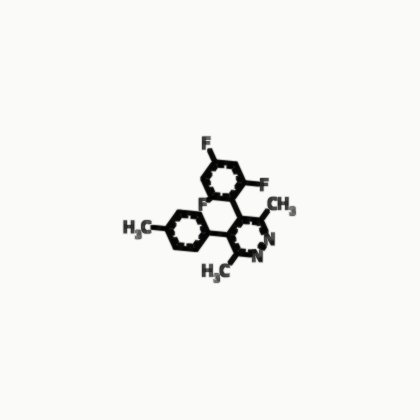 Cc1ccc(-c2c(C)nnc(C)c2-c2c(F)cc(F)cc2F)cc1